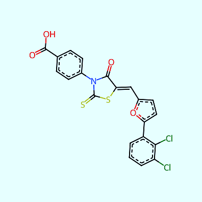 O=C(O)c1ccc(N2C(=O)C(=Cc3ccc(-c4cccc(Cl)c4Cl)o3)SC2=S)cc1